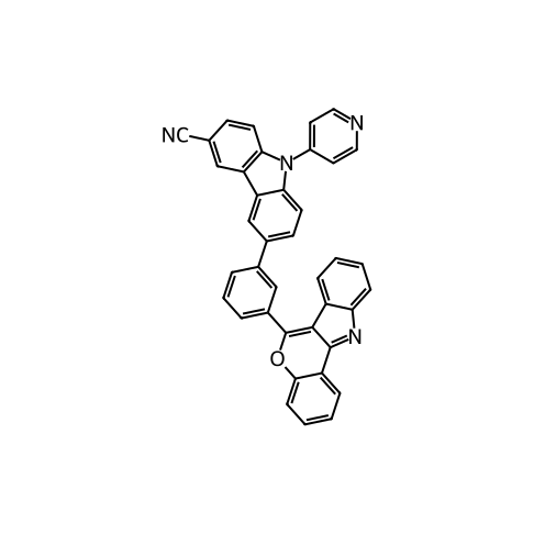 N#Cc1ccc2c(c1)c1cc(-c3cccc(-c4oc5ccccc5c5nc6ccccc6c4-5)c3)ccc1n2-c1ccncc1